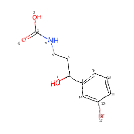 O=C(O)NCCC(O)c1cccc(Br)c1